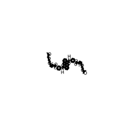 O=C(OC1CCC(NC(=O)c2cccc3c2C2(CC3)CCc3cccc(C(=O)NC4CCC(OC(=O)c5ccc(OCCOC6COC6)s5)CC4)c32)CC1)c1ccc(OCCOCC2CO2)s1